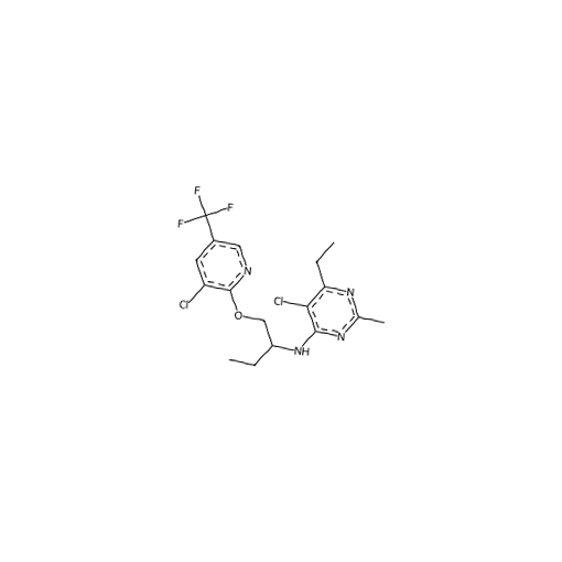 CCc1nc(C)nc(NC(CC)COc2ncc(C(F)(F)F)cc2Cl)c1Cl